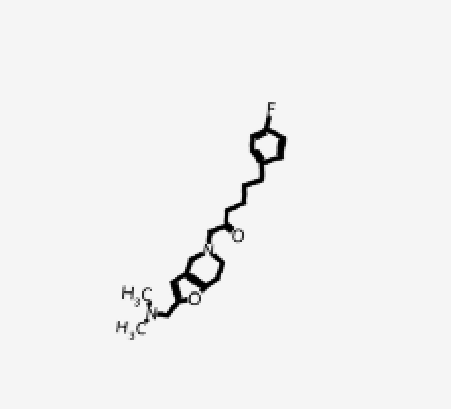 CN(C)Cc1cc2c(o1)CCN(CC(=O)CCCCc1ccc(F)cc1)C2